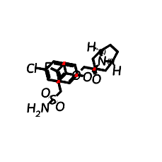 NS(=O)(=O)Cc1cc(Cl)ccc1OCC(=O)N1[C@@H]2CC[C@H]1CC(Oc1ccc(F)cc1)C2